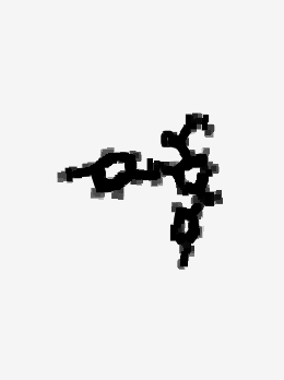 Cn1cc(Nc2ncc(C(N)=O)c(NCc3ccc(F)cc3)n2)cn1